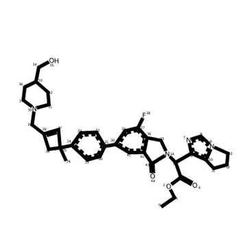 CCOC(=O)C(c1ncn2c1CCC2)N1Cc2c(F)cc(-c3ccc(C4(C)C=C(CN5CCC(CO)CC5)C4)cc3)cc2C1=O